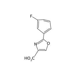 O=C(O)c1coc(-c2cccc(F)c2)n1